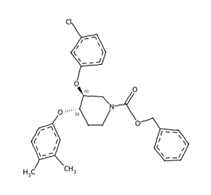 Cc1ccc(O[C@H]2CCN(C(=O)OCc3ccccc3)C[C@@H]2Oc2cccc(Cl)c2)cc1C